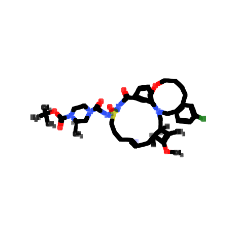 COC1=C(C)[C@H]2CN3Cc4ccc(Cl)cc4CCCCOc4ccc(cc43)C(=O)N=S(=O)(NC(=O)N3CCN(C(=O)OC(C)(C)C)[C@H](C)C3)CCC/C=C/C[C@H]12